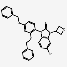 O=c1n(-c2ccc(OCc3ccccc3)nc2OCc2ccccc2)c2ccc(Br)cc2n1C1COC1